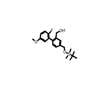 COc1ccc(F)c(-c2ccc(CO[Si](C)(C)C(C)(C)C)cc2CO)c1